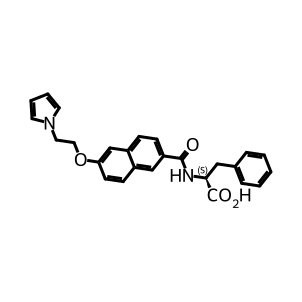 O=C(N[C@@H](Cc1ccccc1)C(=O)O)c1ccc2cc(OCCn3cccc3)ccc2c1